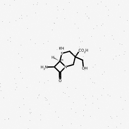 NC1C(=O)N2CC(CO)(C(=O)O)CS[C@H]12.[KH]